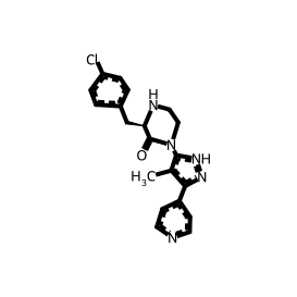 Cc1c(-c2ccncc2)n[nH]c1N1CCN[C@H](Cc2ccc(Cl)cc2)C1=O